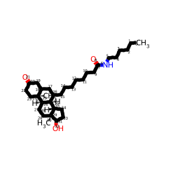 CCCCCCNC(=O)CCCCCCCC1CC2CC(=O)CC[C@]2(C)[C@@H]2CC[C@]3(C)C(O)CC[C@H]3[C@H]12